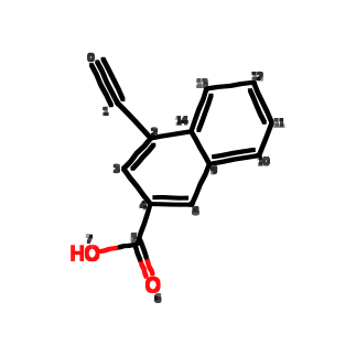 C#Cc1cc(C(=O)O)cc2ccccc12